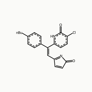 CCCCc1ccc(C(=CC2=NC(=O)C=C2)c2ccc(Cl)c(=O)[nH]2)cc1